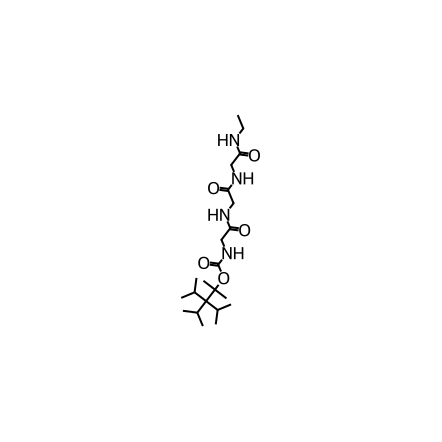 CCNC(=O)CNC(=O)CNC(=O)CNC(=O)OC(C)(C)C(C(C)C)(C(C)C)C(C)C